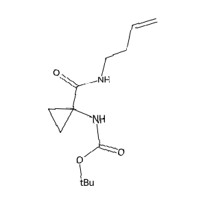 C=CCCNC(=O)C1(NC(=O)OC(C)(C)C)CC1